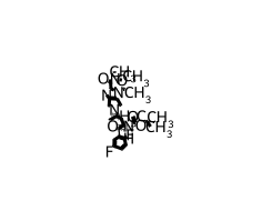 CCn1c(C(=O)N(C)OC)nc2c1CN([C@H]1CO[C@H](c3cc(F)ccc3F)[C@@H](NC(=O)OC(C)(C)C)C1)C2